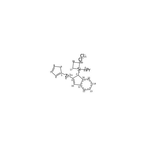 CCC[Si]1(C2[C]([Zr+2][C]3=CC=CC3)=Cc3ccccc32)CCC1.[Cl-].[Cl-]